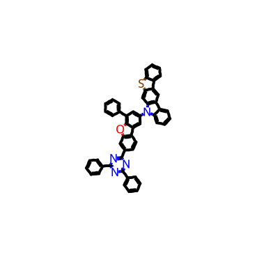 c1ccc(-c2nc(-c3ccccc3)nc(-c3ccc4c(c3)oc3c(-c5ccccc5)cc(-n5c6ccccc6c6cc7c(cc65)sc5ccccc57)cc34)n2)cc1